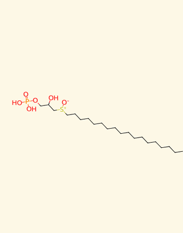 CCCCCCCCCCCCCCCCCC[S+]([O-])CC(O)COP(=O)(O)O